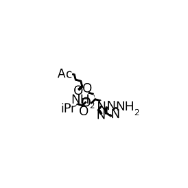 CC(=O)CCCC(=O)OCC[C@@H](COC(=O)[C@@H](N)C(C)C)Cn1cnc2cnc(N)nc21